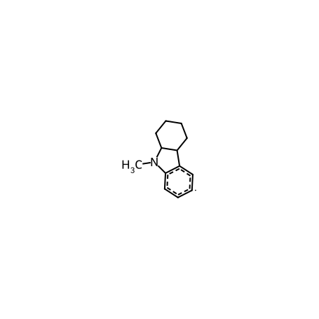 CN1c2cc[c]cc2C2CCCCC21